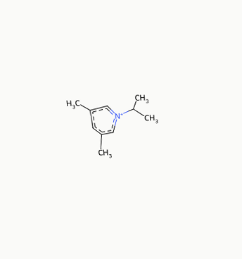 Cc1cc(C)c[n+](C(C)C)c1